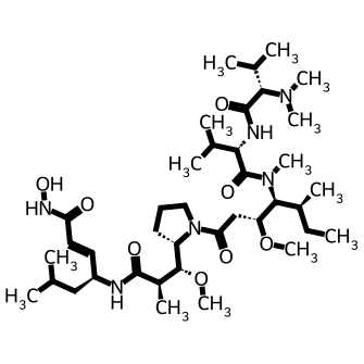 CC[C@H](C)[C@@H]([C@@H](CC(=O)N1CCC[C@H]1[C@H](OC)[C@@H](C)C(=O)N[C@H](/C=C/C(=O)NO)CC(C)C)OC)N(C)C(=O)[C@@H](NC(=O)[C@H](C(C)C)N(C)C)C(C)C